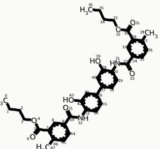 CCCCOC(=O)c1cc(C(=O)Nc2ccc(-c3ccc(NC(=O)c4ccc(C)c(C(=O)OCCCC)c4)c(O)c3)cc2O)ccc1C